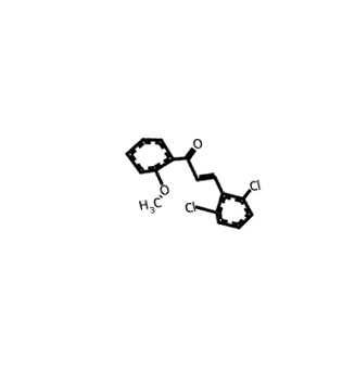 COc1ccccc1C(=O)/C=C/c1c(Cl)cccc1Cl